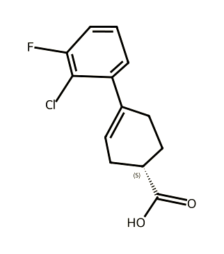 O=C(O)[C@@H]1CC=C(c2cccc(F)c2Cl)CC1